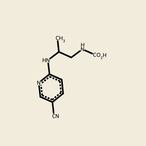 CC(CNC(=O)O)Nc1ccc(C#N)cn1